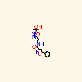 CC(C)(O)c1nnc(CCNC(=O)c2cc(-c3ccccc3)on2)o1